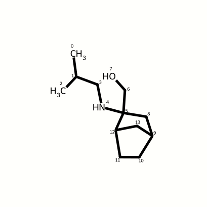 CC(C)CNC1(CO)CC2CCC1C2